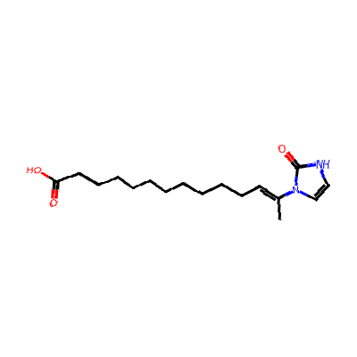 CC(=CCCCCCCCCCCC(=O)O)n1cc[nH]c1=O